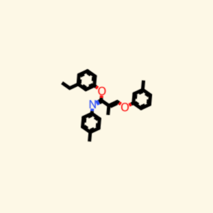 CCc1cccc(OC(=Nc2ccc(C)cc2)C(C)=COc2cccc(C)c2)c1